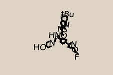 CC(C)(C)[C@H]1CCc2nc3sc(C(=O)N[C@H](CCN4CCC(O)CC4)c4ccc(-c5ccc(OCCF)nc5)cc4)nc3cc2C1